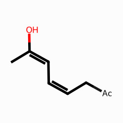 CC(=O)C/C=C\C=C(/C)O